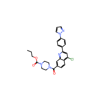 CCCOC(=O)N1CCN(C(=O)c2ccc3c(Cl)cc(-c4ccc(-n5cccn5)cc4)nc3c2)CC1